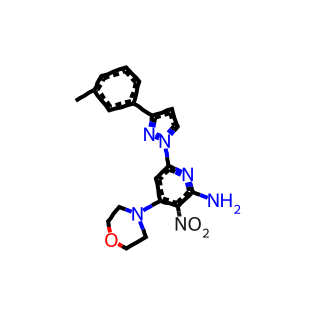 Cc1cccc(-c2ccn(-c3cc(N4CCOCC4)c([N+](=O)[O-])c(N)n3)n2)c1